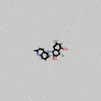 Cc1ccc2c(N[C@H]3c4cc(Cl)c(F)c(O)c4[C@H](C)C[C@]3(O)C(F)(F)F)cccc2n1